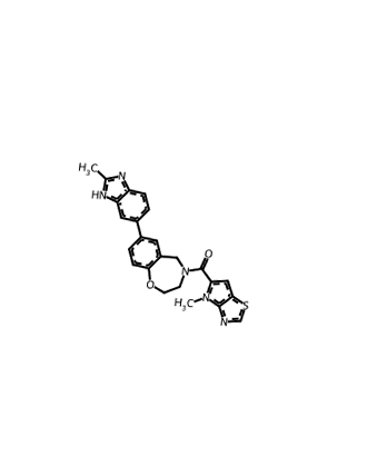 Cc1nc2ccc(-c3ccc4c(c3)CN(C(=O)c3cc5scnc5n3C)CCO4)cc2[nH]1